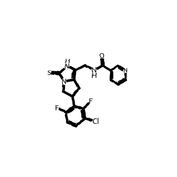 O=C(NCc1[nH]c(=S)n2c1CC(c1c(F)ccc(Cl)c1F)C2)c1cccnc1